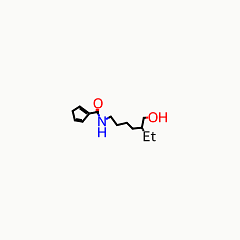 CCC(CO)CCCCNC(=O)C1=CCC=C1